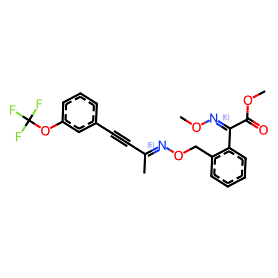 CO/N=C(/C(=O)OC)c1ccccc1CO/N=C(\C)C#Cc1cccc(OC(F)(F)F)c1